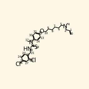 C=CCN(C)CCCCCCOc1ccc(N(C)C(=S)NCc2ccc(Cl)cc2Cl)cc1